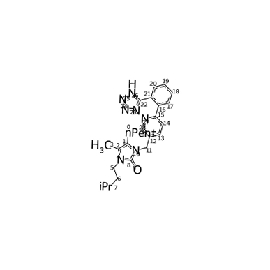 CCCCCc1c(C)n(CCC(C)C)c(=O)n1Cc1ccc(-c2ccccc2-c2nnn[nH]2)nc1